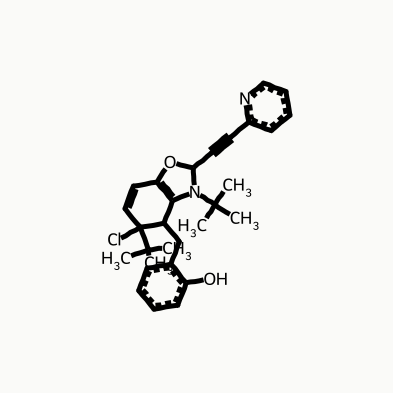 CC(C)(C)N1C2=C(C=CC(Cl)(C(C)(C)C)C2Cc2ccccc2O)OC1C#Cc1ccccn1